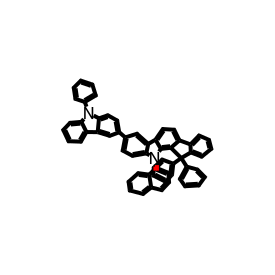 c1ccc(-n2c3ccccc3c3cc(-c4ccc5c(c4)c4ccc6c(c4n5-c4cccc5ccccc45)C(c4ccccc4)(c4ccccc4)c4ccccc4-6)ccc32)cc1